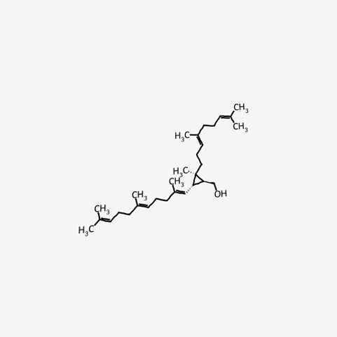 CC(C)=CCC/C(C)=C/CC/C(C)=C/[C@H]1[C@H](CO)[C@]1(C)CC/C=C(\C)CCC=C(C)C